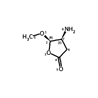 CO[C@@H]1OC(=O)C[C@@H]1N